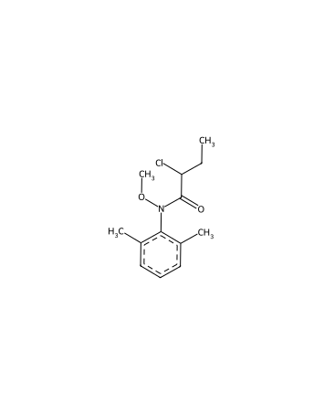 CCC(Cl)C(=O)N(OC)c1c(C)cccc1C